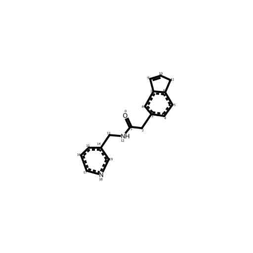 O=C(Cc1ccc2c(c1)C=CC2)NCc1cccnc1